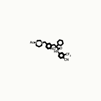 CC(=O)N1CCCN(Cc2cccc(CC(O)(C(=O)Nc3ccc(C#N)c(C(F)(F)F)c3)C3CCCCC3)c2)CC1